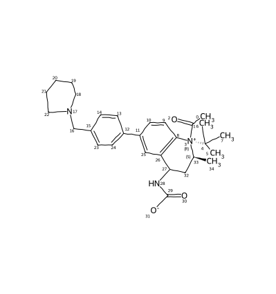 CC(=O)[N@+]1(C(C)(C)C)c2ccc(-c3ccc(CN4CCCCC4)cc3)cc2C(NC(=O)[O-])C[C@@H]1C